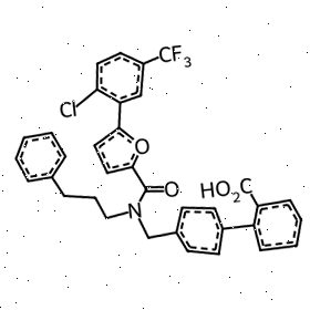 O=C(O)c1ccccc1-c1ccc(CN(CCCc2ccccc2)C(=O)c2ccc(-c3cc(C(F)(F)F)ccc3Cl)o2)cc1